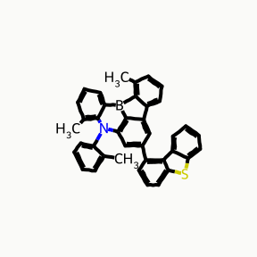 Cc1ccccc1N1c2cc(-c3cccc4sc5ccccc5c34)cc3c2B(c2cccc(C)c21)c1c(C)cccc1-3